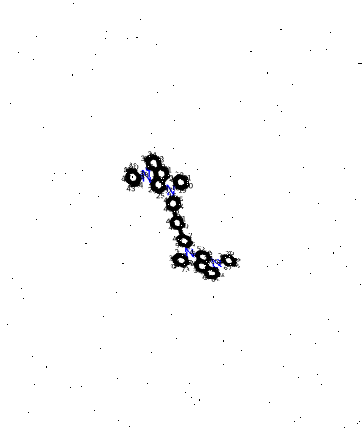 c1ccc(N(c2ccc(-c3ccc(-c4ccc(N(c5ccccc5)c5ccc6c7c5ccc5cccc(c57)n6-c5ccccc5)cc4)cc3)cc2)c2ccc3c4c2ccc2cccc(c24)n3-c2ccccc2)cc1